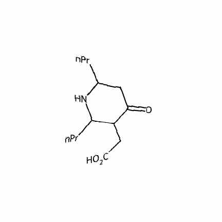 CCCC1CC(=O)C(CC(=O)O)C(CCC)N1